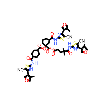 Cc1cocc1-c1nc(NC(=O)C2CCC(C(=O)OC3(C(=O)OC(=O)CCC(C)(C)C(=O)Nc4nc(-c5cocc5C)c(C#N)s4)CCCC(C(=O)Nc4nc(-c5cocc5C)c(C#N)s4)C3)CC2)sc1C#N